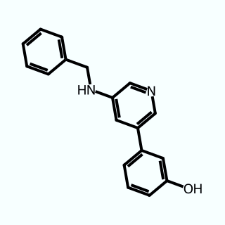 Oc1cccc(-c2cncc(NCc3ccccc3)c2)c1